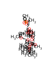 C=C(Br)C[C@@H](CC[C@@]12C[C@H]3O[C@H]4[C@@H](O1)[C@H]1O[C@@H](CC(=O)C[C@@H]5[C@@H](OC)[C@@H](C[C@@H](CO[Si](C)(C)C(C)(C)C)O[Si](C)(C)C(C)(C)C)O[C@H]5C[C@H]5O[C@@H](CCCO[Si](CC)(CC)CC)C[C@@H](C)C5=C)CC[C@@H]1O[C@H]4[C@H]3O2)OS(=O)(=O)c1ccc(C)cc1